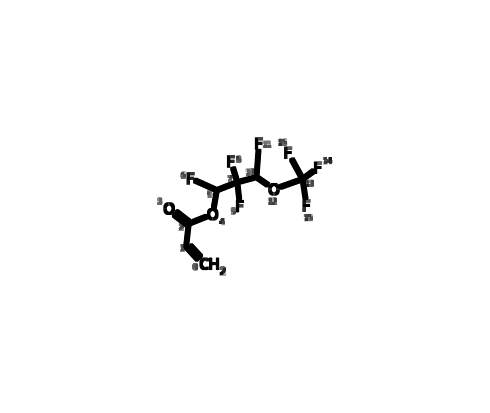 C=CC(=O)OC(F)C(F)(F)C(F)OC(F)(F)F